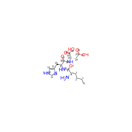 CCCC[C@H](N)C(=O)N[C@@H](Cc1c[nH]cn1)C(=O)N[C@@H](CC(=O)O)C(=O)O